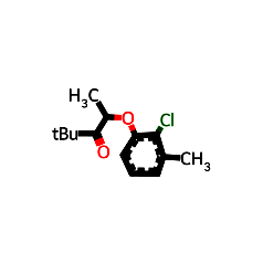 Cc1cccc(OC(C)C(=O)C(C)(C)C)c1Cl